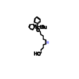 CC(C)(C)[Si](OCCCC/C=C\CCCCO)(c1ccccc1)c1ccccc1